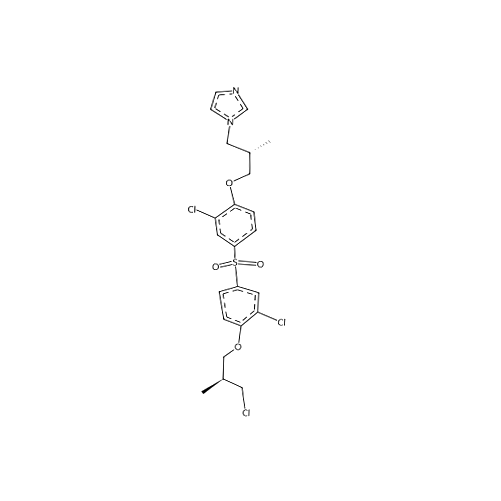 C[C@H](CCl)COc1ccc(S(=O)(=O)c2ccc(OC[C@@H](C)Cn3ccnc3)c(Cl)c2)cc1Cl